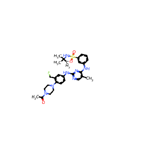 CC(=O)N1CCN(c2ccc(Nc3ncc(C)c(Nc4cccc(S(=O)(=O)NC(C)(C)C)c4)n3)cc2CF)CC1